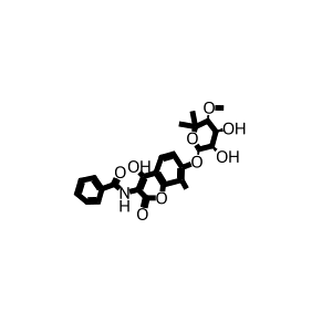 CO[C@@H]1[C@@H](O)[C@@H](O)[C@H](Oc2ccc3c(O)c(NC(=O)c4ccccc4)c(=O)oc3c2C)OC1(C)C